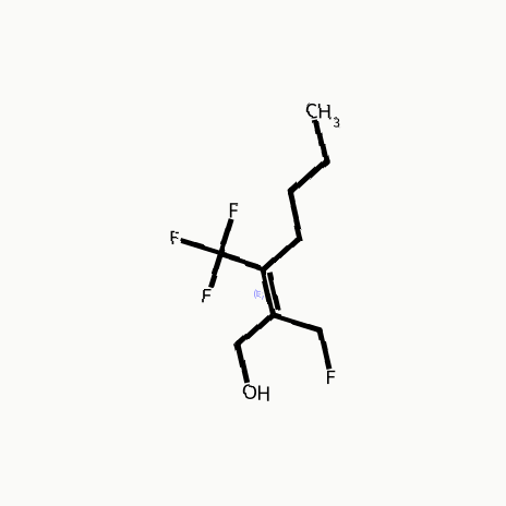 CCCC/C(=C(/CO)CF)C(F)(F)F